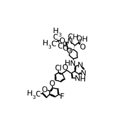 Cc1cc2cc(F)cc(Oc3ccc(C(=O)c4c[nH]c5ncnc(N[C@@H]6CC[C@@H](C(C(=O)O)N(C)C(=O)OC(C)(C)C)OC6)c45)c(Cl)c3)c2o1